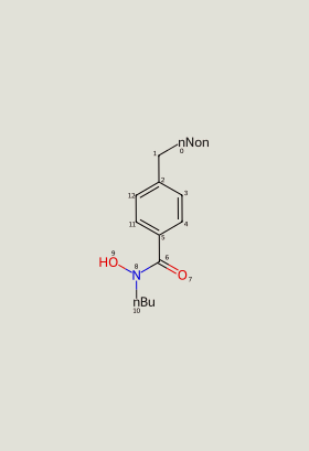 CCCCCCCCCCc1ccc(C(=O)N(O)CCCC)cc1